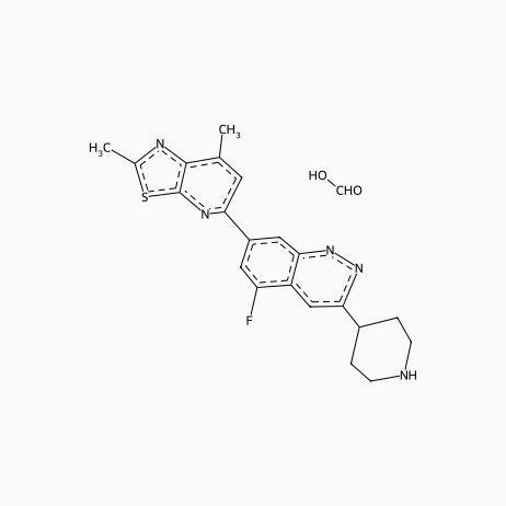 Cc1nc2c(C)cc(-c3cc(F)c4cc(C5CCNCC5)nnc4c3)nc2s1.O=CO